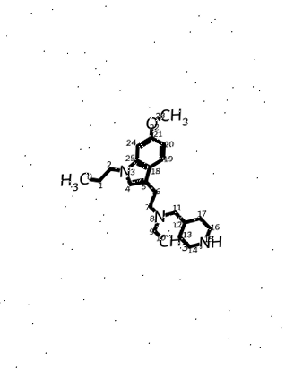 CCCn1cc(CCN(CC)CC2CCNCC2)c2ccc(OC)cc21